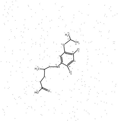 CC(CCC(=O)O)CNc1cc(OC(C)C)c(Cl)cc1Cl